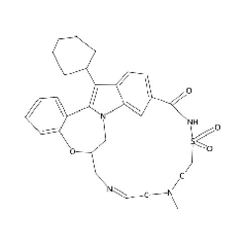 CN1C/C=N\CC2Cn3c(c(C4CCCCC4)c4ccc(cc43)C(=O)NS(=O)(=O)CC1)-c1ccccc1O2